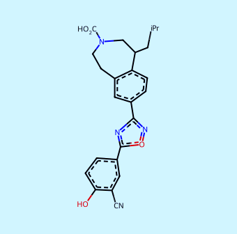 CC(C)CC1CN(C(=O)O)CCc2cc(-c3noc(-c4ccc(O)c(C#N)c4)n3)ccc21